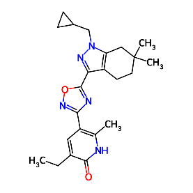 CCc1cc(-c2noc(-c3nn(CC4CC4)c4c3CCC(C)(C)C4)n2)c(C)[nH]c1=O